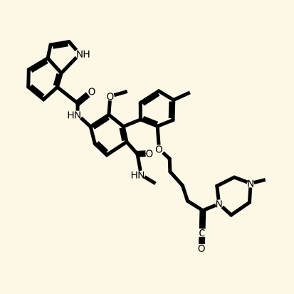 CNC(=O)c1ccc(NC(=O)c2cccc3cc[nH]c23)c(OC)c1-c1ccc(C)cc1OCCCCC(=C=O)N1CCN(C)CC1